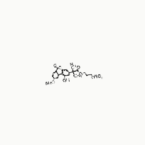 COc1ccc2c(=O)oc3cc(C(C)(C)C(=O)OCCCO[N+](=O)[O-])cc(O)c3c2c1